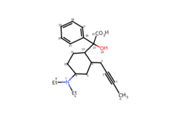 CC#CCC1CC(N(CC)CC)CCC1C(O)(C(=O)O)c1ccccc1